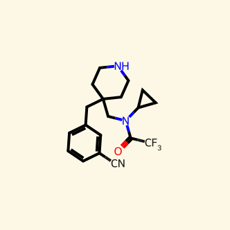 N#Cc1cccc(CC2(CN(C(=O)C(F)(F)F)C3CC3)CCNCC2)c1